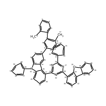 Cc1ccccc1-c1cc(-c2ccc3c(c2)c2c(-c4nc(-c5ccccc5)nc(-c5cccc6c5oc5ccccc56)n4)cccc2n3-c2ccccc2)ccc1C